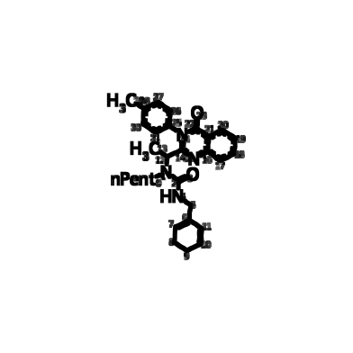 CCCCCN(C(=O)NCC1=CCCC=C1)C(C)c1nc2ccccc2c(=O)n1-c1ccc(C)cc1